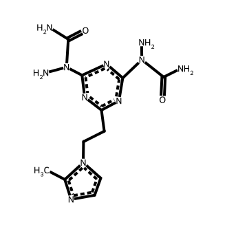 Cc1nccn1CCc1nc(N(N)C(N)=O)nc(N(N)C(N)=O)n1